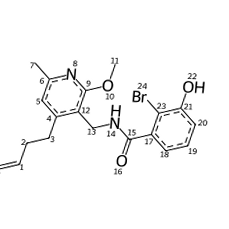 C=CCCc1cc(C)nc(OC)c1CNC(=O)c1cccc(O)c1Br